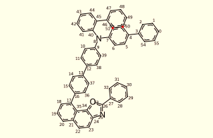 c1ccc(-c2ccc(N(c3ccc(-c4ccc(-c5cccc6ccc7nc(-c8ccccc8)oc7c56)cc4)cc3)c3ccccc3-c3ccccc3)cc2)cc1